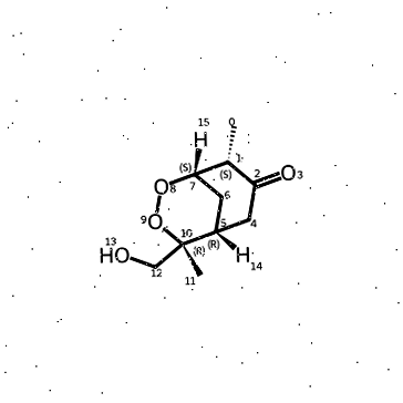 C[C@@H]1C(=O)C[C@H]2C[C@@H]1OO[C@@]2(C)CO